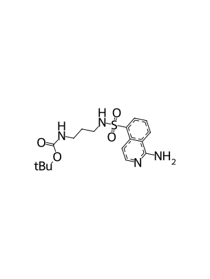 CC(C)(C)OC(=O)NCCCNS(=O)(=O)c1cccc2c(N)nccc12